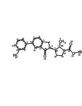 C[C@@H]1[C@H](N2Cc3ccc(-c4ccnc(C#N)c4)nc3C2=O)CCN1C(=O)OC(C)(C)C